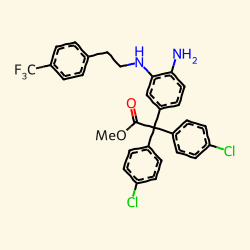 COC(=O)C(c1ccc(Cl)cc1)(c1ccc(Cl)cc1)c1ccc(N)c(NCCc2ccc(C(F)(F)F)cc2)c1